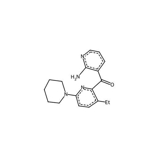 CCc1ccc(N2CCCCC2)nc1C(=O)c1cccnc1N